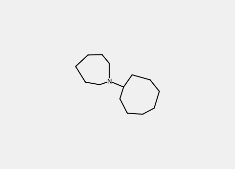 C1CCCC(N2CCCCCC2)CCC1